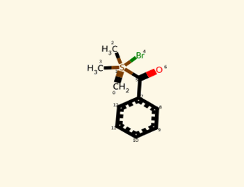 C=S(C)(C)(Br)C(=O)c1ccccc1